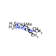 C=C/N=C(\N=C(/C\C=C/C=C/C=C\C(=C/C)NC(=C)C=C)SC)NCCN(C)N(C)C